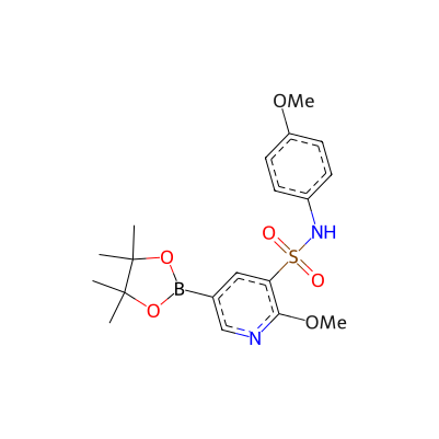 COc1ccc(NS(=O)(=O)c2cc(B3OC(C)(C)C(C)(C)O3)cnc2OC)cc1